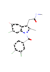 Cc1c(CC(=O)NC(C)C)c2cc(O)c(F)cc2n1C(=O)c1ccc(Cl)c(F)c1